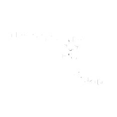 CCCCCCCCCCCCCCCCCC(CCCCCCCCCC)OC(=O)NCCCOC(C)(C)COC(C)(C)C